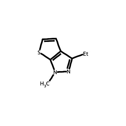 CCc1nn(C)c2sccc12